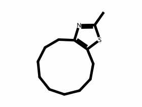 Cc1nc2c(s1)CCCCCCCCC2